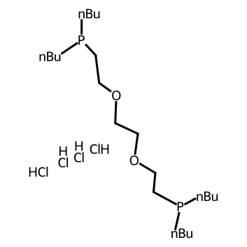 CCCCP(CCCC)CCOCCOCCP(CCCC)CCCC.Cl.Cl.Cl.Cl